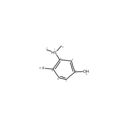 C[SH](C)c1cc(O)ccc1F